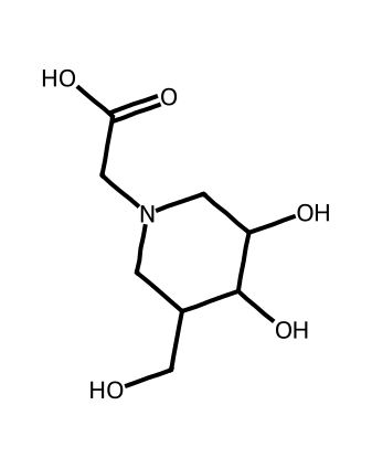 O=C(O)CN1CC(O)C(O)C(CO)C1